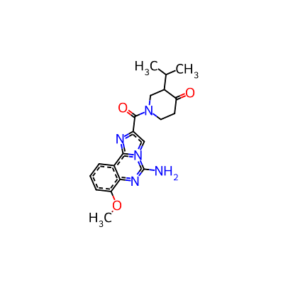 COc1cccc2c1nc(N)n1cc(C(=O)N3CCC(=O)C(C(C)C)C3)nc21